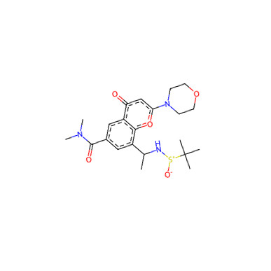 CC(N[S+]([O-])C(C)(C)C)c1cc(C(=O)N(C)C)cc2c(=O)cc(N3CCOCC3)oc12